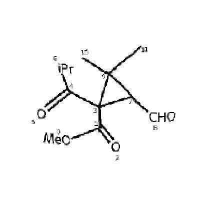 COC(=O)C1(C(=O)C(C)C)C(C=O)C1(C)C